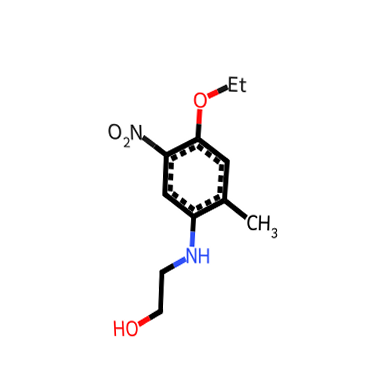 CCOc1cc(C)c(NCCO)cc1[N+](=O)[O-]